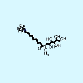 CN(CC(O)C(O)C(O)C(O)CO)C(=O)CCCCCCC/C=C/S(F)(F)(F)(F)F